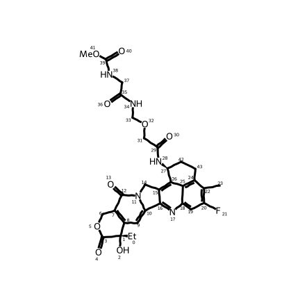 CC[C@@]1(O)C(=O)OCc2c1cc1n(c2=O)Cc2c-1nc1cc(F)c(C)c3c1c2[C@@H](NC(=O)COCNC(=O)CNC(=O)OC)CC3